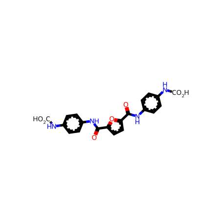 O=C(O)Nc1ccc(NC(=O)c2ccc(C(=O)Nc3ccc(NC(=O)O)cc3)o2)cc1